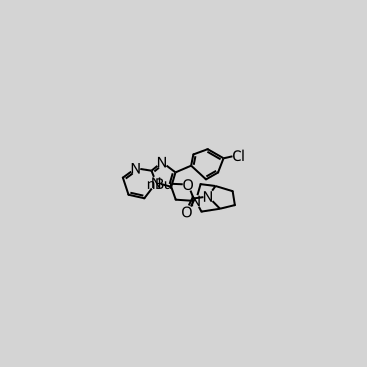 CCCCOC(=O)N1C2CCC1CN(Cc1c(-c3ccc(Cl)cc3)nc3ncccn13)C2